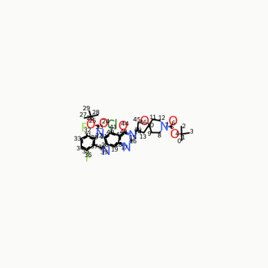 CC(C)(C)OC(=O)N1CCC2(CC1)C[C@@H](n1cnc3ccc(N(C(=O)OC(C)(C)C)c4c(F)ccc(F)c4C#N)c(Cl)c3c1=O)CO2